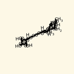 CCC(=O)NCCNC(=O)/N=C(/N)NCCC[C@@H](NC(=O)C(C)c1ccc(NC(=O)CCOCCOCCOCCOCCNC(=O)CN2CCN(CC(=O)O)CCN(CC(=O)O)CCN(CC(=O)O)CC2)cc1)C(=O)NCc1ccc(O)cc1